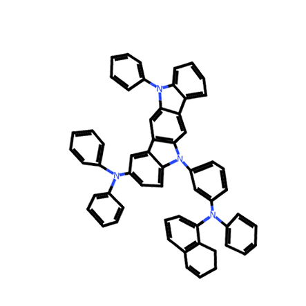 C1=Cc2cccc(N(c3ccccc3)c3cccc(-n4c5ccc(N(c6ccccc6)c6ccccc6)cc5c5cc6c(cc54)c4ccccc4n6-c4ccccc4)c3)c2CC1